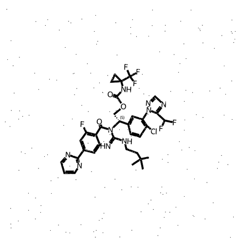 CC(C)(C)CCNC(=N)N(C(=O)c1ccc(-c2ncccn2)cc1F)[C@H](COC(=O)NC1(C(F)(F)F)CC1)c1ccc(Cl)c(-n2ncnc2C(F)F)c1